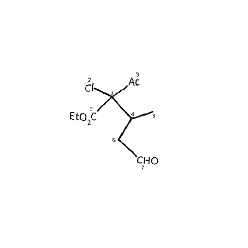 CCOC(=O)C(Cl)(C(C)=O)C(C)CC=O